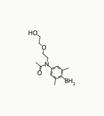 Bc1c(C)cc(N(CCOCCO)C(C)=O)cc1C